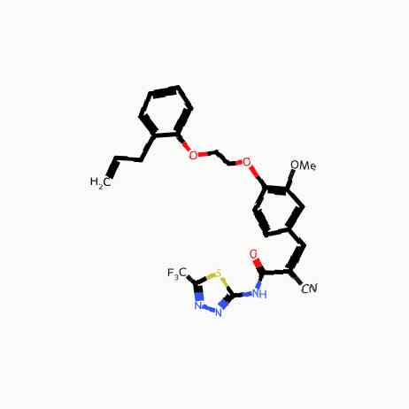 C=CCc1ccccc1OCCOc1ccc(C=C(C#N)C(=O)Nc2nnc(C(F)(F)F)s2)cc1OC